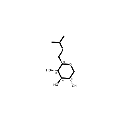 CC(C)OC[C@H]1OC[C@H](O)[C@@H](O)[C@@H]1O